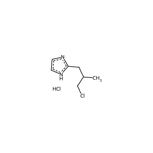 CC(CCl)Cc1ncc[nH]1.Cl